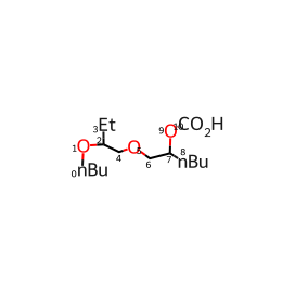 CCCCOC(CC)COCC(CCCC)OC(=O)O